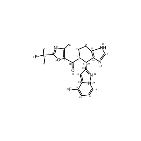 Cc1nc(C(C)(C)F)oc1C(=O)N1CCc2[nH]cnc2[C@H]1c1cc2c(F)cccn2n1